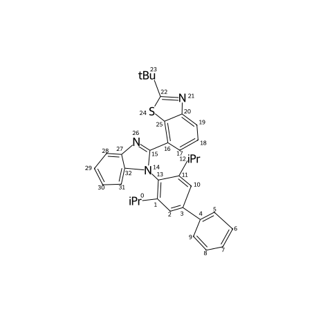 CC(C)c1cc(-c2ccccc2)cc(C(C)C)c1-n1c(-c2cccc3nc(C(C)(C)C)sc23)nc2ccccc21